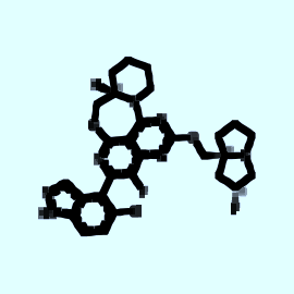 Fc1c(-c2c(Cl)ccc3[nH]ncc23)nc2c3c(nc(OC[C@@]45CCCN4C[C@H](F)C5)nc13)N1CCCC[C@H]1CO2